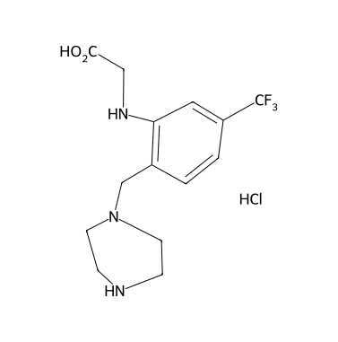 Cl.O=C(O)CNc1cc(C(F)(F)F)ccc1CN1CCNCC1